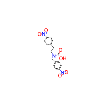 O=C(O)N(CCc1ccc([N+](=O)[O-])cc1)Cc1ccc([N+](=O)[O-])cc1